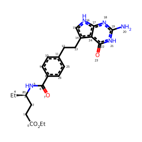 CCOC(=O)CC[C@@H](CC)NC(=O)c1ccc(CCc2c[nH]c3nc(N)[nH]c(=O)c23)cc1